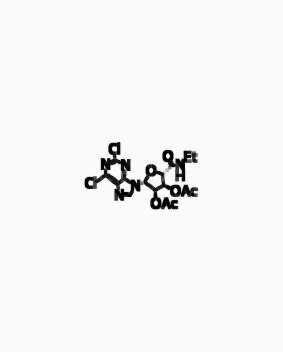 CCNC(=O)[C@H]1O[C@@H](n2cnc3c(Cl)nc(Cl)nc32)[C@H](OC(C)=O)[C@@H]1OC(C)=O